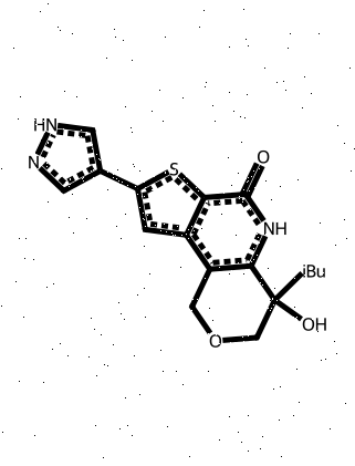 CCC(C)C1(O)COCc2c1[nH]c(=O)c1sc(-c3cn[nH]c3)cc21